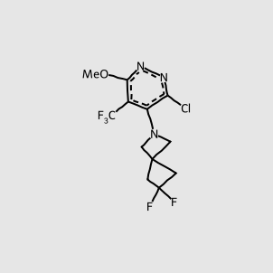 COc1nnc(Cl)c(N2CC3(C2)CC(F)(F)C3)c1C(F)(F)F